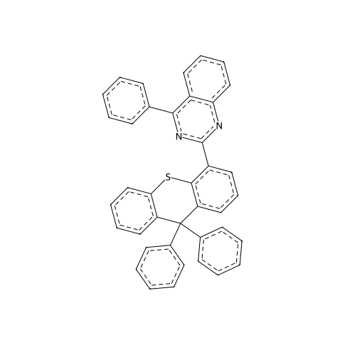 c1ccc(-c2nc(-c3cccc4c3Sc3ccccc3C4(c3ccccc3)c3ccccc3)nc3ccccc23)cc1